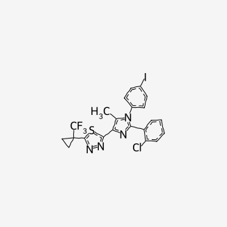 Cc1c(-c2nnc(C3(C(F)(F)F)CC3)s2)nc(-c2ccccc2Cl)n1-c1ccc(I)cc1